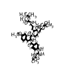 COC(=O)NC(=N)Nc1ccc(C(=O)NC(Cc2ccc(OC)cc2)C(=O)N2CCN(CC(=O)OC(C)(C)C)C(=O)[C@@H]2CCCNC(=O)OC(C)(C)C)cc1